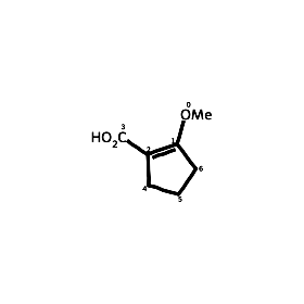 COC1=C(C(=O)O)CCC1